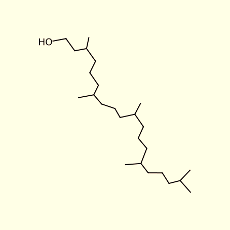 CC(C)CCCC(C)CCCC(C)CCCC(C)CCCC(C)CCO